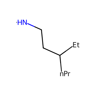 CCCC(CC)CC[NH]